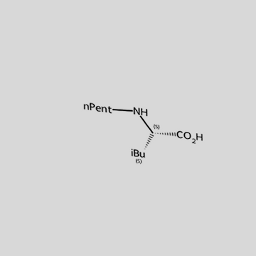 CCCCCN[C@H](C(=O)O)[C@@H](C)CC